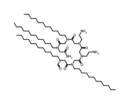 CCCCCCCCCCCCN(C=O)CC(=O)N(CCCCCCCCCCCC)CC(=O)N(CCN)CC(=O)N(CCN)CC(=O)N(CCCCCCCCCCCC)CC(=O)N(CCCCCCCCCCCC)CC(N)=O